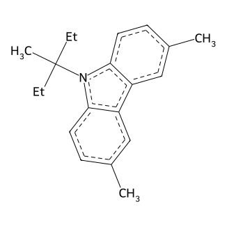 CCC(C)(CC)n1c2ccc(C)cc2c2cc(C)ccc21